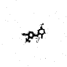 COC1CCC2C[NH+]([O-])C(c3ccc(C#N)c(C(F)(F)F)c3)C2C1